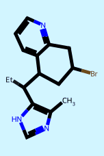 CCC(c1[nH]cnc1C)C1CC(Br)Cc2ncccc21